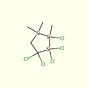 C[Si]1(C)CC(Cl)(Cl)[Si](Cl)(Cl)[Si]1(C)Cl